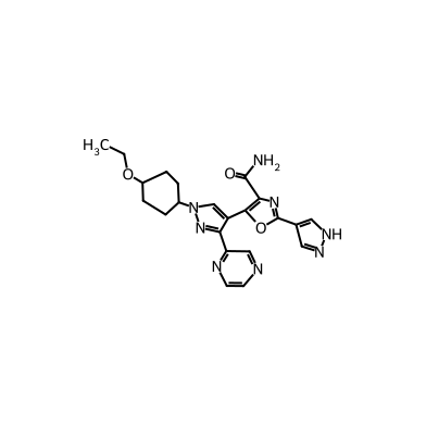 CCOC1CCC(n2cc(-c3oc(-c4cn[nH]c4)nc3C(N)=O)c(-c3cnccn3)n2)CC1